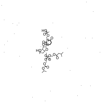 CC(C)CC(=O)OCOP(=O)(OCOC(=O)OC(C)C)OC[C@@]1(CF)O[C@@H](n2ccc(=O)n(COP(C)(=O)O)c2=O)[C@](C)(O)[C@@H]1O